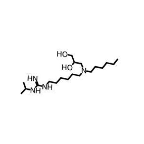 CCCCCCN(CCCCCCNC(=N)NC(C)C)CC(O)CO